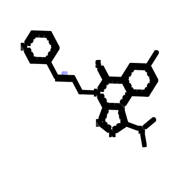 Cc1ccc2c(c1)c(=S)n(C/C=C/c1cccnc1)c1nnc(N(C)C)n21